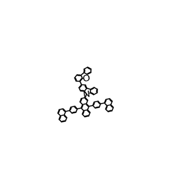 c1ccc2c(-c3ccc(-c4c5ccccc5c(-c5ccc(-c6cccc7ccccc67)cc5)c5cc(-n6c7ccccc7c7cc(-c8cccc9c8oc8ccccc89)ccc76)ccc45)cc3)cccc2c1